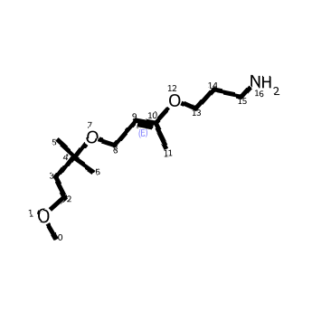 COCCC(C)(C)OC/C=C(\C)OCCCN